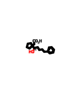 O=C(O)CC1([C@H](O)CCCCc2ccccc2)CCCC1